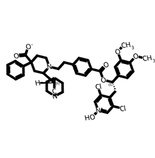 COc1ccc([C@H](Cc2c(Cl)c[n+](O)cc2Cl)OC(=O)c2ccc(CCN3CCC(C(=O)[O-])(c4ccccc4)CC3[C@H]3CN4CCC3CC4)cc2)cc1OC